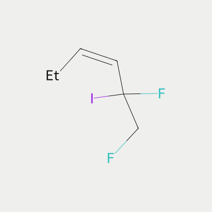 CC/C=C\C(F)(I)CF